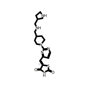 O=C1NC(=O)/C(=C/c2ccnc(N3CCC(CNCC4CCNC4)CC3)n2)S1